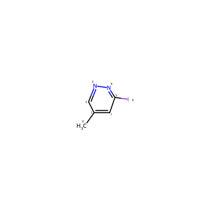 Cc1cnnc(I)c1